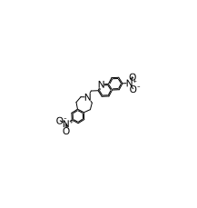 O=[N+]([O-])c1ccc2c(c1)CCN(Cc1ccc3cc([N+](=O)[O-])ccc3n1)CC2